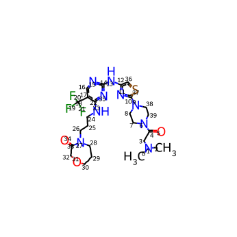 CN(C)CC(=O)N1CCN(c2nc(Nc3ncc(C(F)(F)F)c(NCCCN4CCCOCC4=O)n3)cs2)CC1